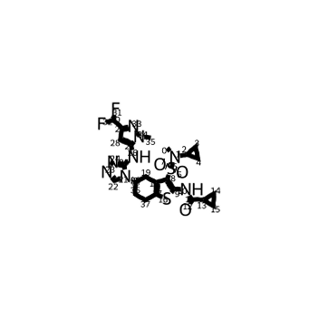 CN(C1CC1)S(=O)(=O)c1c(NC(=O)C2CC2)sc2c1C[C@@H](n1cnnc1Nc1cc(C(F)F)nn1C)CC2